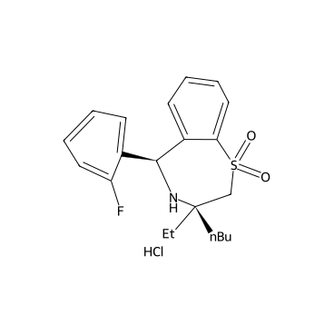 CCCC[C@]1(CC)CS(=O)(=O)c2ccccc2[C@H](c2ccccc2F)N1.Cl